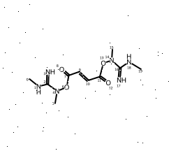 CNC(=N)N(C)OC(=O)/C=C/C(=O)ON(C)C(=N)NC